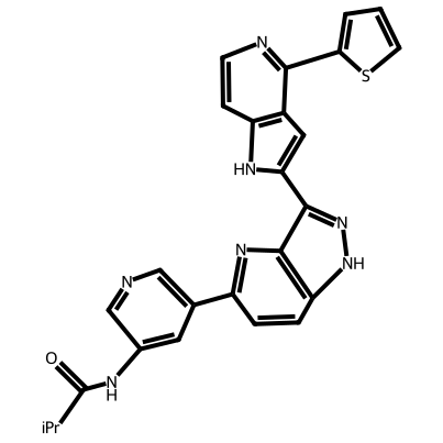 CC(C)C(=O)Nc1cncc(-c2ccc3[nH]nc(-c4cc5c(-c6cccs6)nccc5[nH]4)c3n2)c1